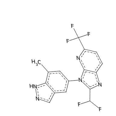 Cc1cc(-n2c(C(F)F)nc3ccc(C(F)(F)F)nc32)cc2cn[nH]c12